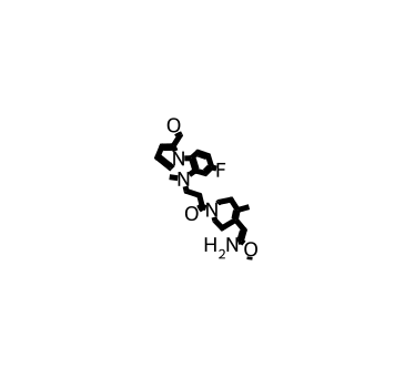 CO/C(N)=C/C1=C(C)CCN(C(=O)CCN(C)c2cc(F)ccc2-n2cccc2C=O)CC1